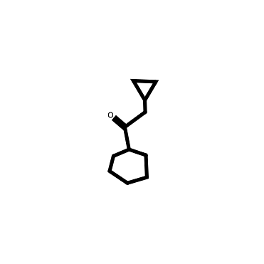 O=C(CC1CC1)C1CCCCC1